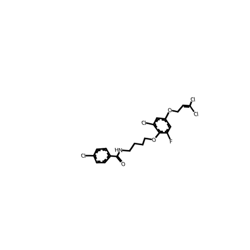 O=C(NCCCCOc1c(F)cc(OCC=C(Cl)Cl)cc1Cl)c1ccc(Cl)cc1